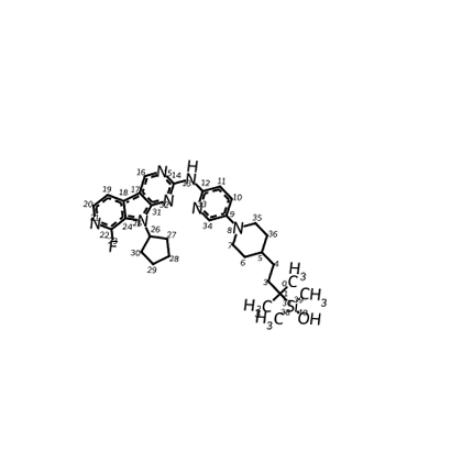 CC(C)(CCC1CCN(c2ccc(Nc3ncc4c5ccnc(F)c5n(C5CCCC5)c4n3)nc2)CC1)[Si](C)(C)O